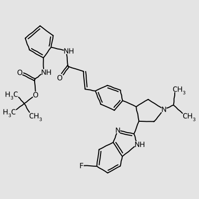 CC(C)N1CC(c2ccc(/C=C/C(=O)Nc3ccccc3NC(=O)OC(C)(C)C)cc2)C(c2nc3cc(F)ccc3[nH]2)C1